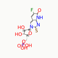 O=c1[nH]c2nc(=S)n([C@@H]3O[C@H](COP(=O)(O)O)C(O)[C@@H]3O)cc2cc1F